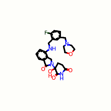 O=C1CCC(O)(N2Cc3c(NCc4cc(CN5CCOCC5)ccc4F)cccc3C2=O)C(=O)N1